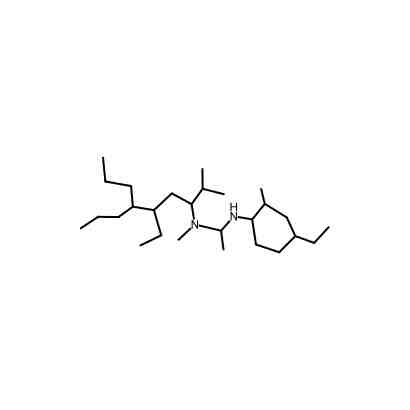 CCCC(CCC)C(CC)CC(C(C)C)N(C)C(C)NC1CCC(CC)CC1C